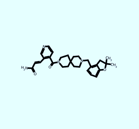 CC1(C)Cc2c(CN3CCC4(CC3)CCN(C(=O)c3ccncc3C=CC(N)=O)CC4)cccc2O1